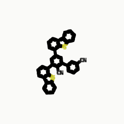 N#Cc1cccc(-c2cc(-c3cccc4c3sc3ccccc34)cc(-c3cccc4c3sc3ccccc34)c2C#N)c1